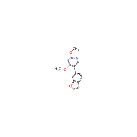 COc1ncc(-c2ccc3ccoc3c2)c(OC)n1